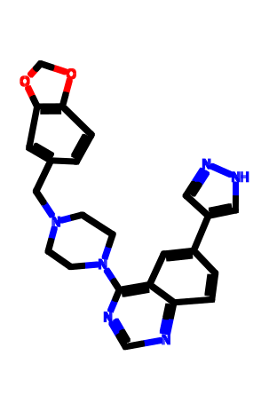 c1nc(N2CCN(Cc3ccc4c(c3)OCO4)CC2)c2cc(-c3cn[nH]c3)ccc2n1